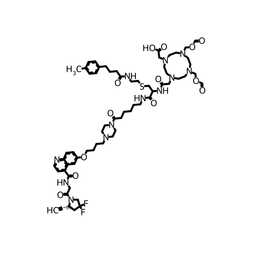 C#C[C@H]1CC(F)(F)CN1C(=O)CNC(=O)c1ccnc2ccc(OCCCCN3CCN(C(=O)CCCCCNC(=O)C(CSCCNC(=O)CCCc4ccc(C)cc4)NC(=O)CN4CCN(COC=O)CCN(COC=O)CCN(CC(=O)O)CC4)CC3)cc12